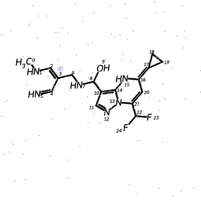 CN/C=C(\C=N)CNC(O)c1cnn2c1NC(=C1CC1)C=C2C(F)F